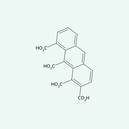 O=C(O)c1ccc2cc3cccc(C(=O)O)c3c(C(=O)O)c2c1C(=O)O